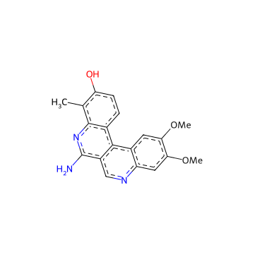 COc1cc2ncc3c(N)nc4c(C)c(O)ccc4c3c2cc1OC